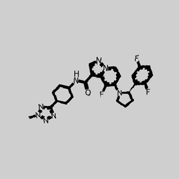 Cn1nnc(C2CCC(NC(=O)c3cnn4ccc(N5CCC[C@@H]5c5cc(F)ccc5F)c(F)c34)CC2)n1